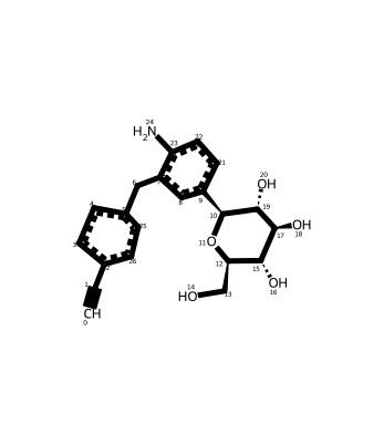 C#Cc1ccc(Cc2cc([C@@H]3O[C@H](CO)[C@@H](O)[C@H](O)[C@H]3O)ccc2N)cc1